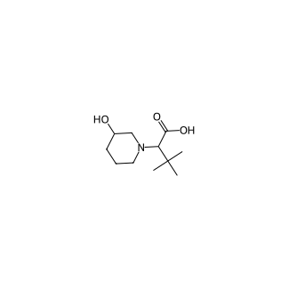 CC(C)(C)C(C(=O)O)N1CCCC(O)C1